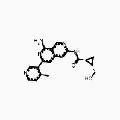 Cc1ccncc1-c1cc2cc(NC(=O)[C@H]3C[C@@H]3CO)ncc2c(N)n1